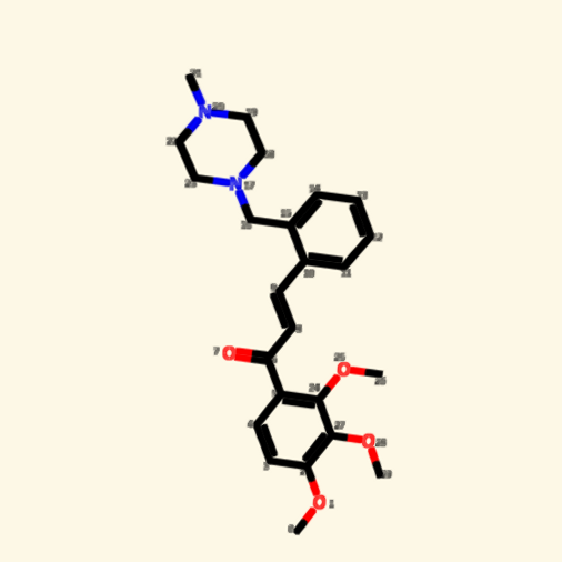 COc1ccc(C(=O)C=Cc2ccccc2CN2CCN(C)CC2)c(OC)c1OC